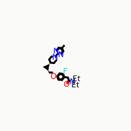 CCN(CC)C(=O)Cc1ccc(OCC[C@@H]2C[C@@H]2C2CCN(c3ncc(C)cn3)CC2)cc1F